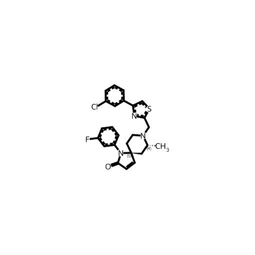 C[C@@H]1C[C@]2(C=CC(=O)N2c2cccc(F)c2)CCN1Cc1nc(-c2cccc(Cl)c2)cs1